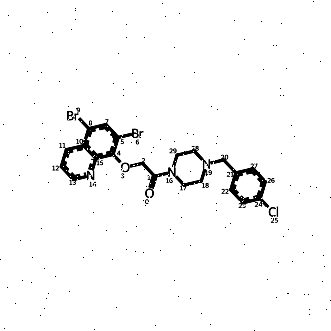 O=C(COc1c(Br)cc(Br)c2cccnc12)N1CCN(Cc2ccc(Cl)cc2)CC1